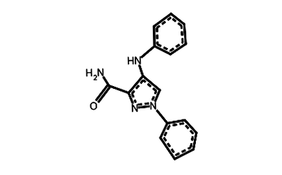 NC(=O)c1nn(-c2ccccc2)cc1Nc1ccccc1